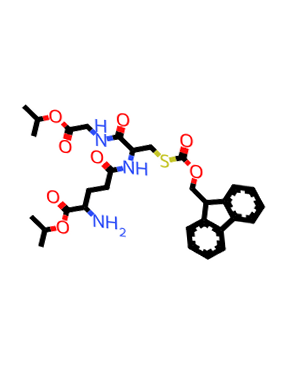 CC(C)OC(=O)CNC(=O)C(CSC(=O)OCC1c2ccccc2-c2ccccc21)NC(=O)CCC(N)C(=O)OC(C)C